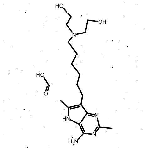 Cc1nc(N)c2[nH]c(C)c(CCCCCCN(CCO)CCO)c2n1.O=CO